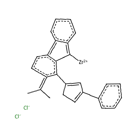 CC(C)=c1ccc2c(c1C1=CC(c3ccccc3)=CC1)[C]([Zr+2])=c1ccccc1=2.[Cl-].[Cl-]